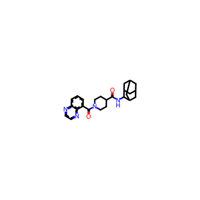 O=C(NC1C2CC3CC(C2)CC1C3)C1CCN(C(=O)c2cccc3nccnc23)CC1